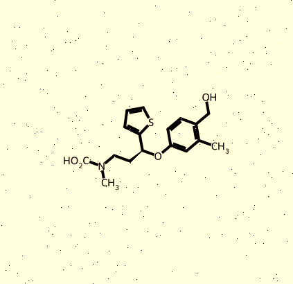 Cc1cc(O[C@@H](CCN(C)C(=O)O)c2cccs2)ccc1CO